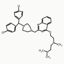 CN(C)CCN(C)CCOc1nc(CN2CCN(C(c3ccc(Cl)cc3)c3ccc(Cl)cc3)CC2)nc2ccccc12